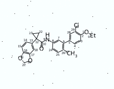 CCOc1ccc(-c2cc(NC(=O)C3(c4ccc5c(c4)OCO5)CC3)ccc2C)cc1Cl